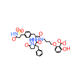 COC(=O)c1c(O)cccc1OCCCCNC(=O)[C@H](Cc1ccc(C2CC(=O)NS2(=O)=O)cc1)NC(=O)C1(Cc2ccccc2)CCC(=O)N1